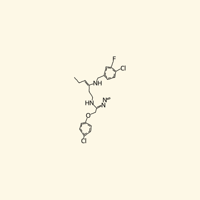 C=N/N=C(/COc1ccc(Cl)cc1)NCC/C(=C\CC)NCc1ccc(Cl)c(F)c1